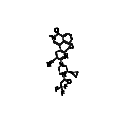 Cn1cc(-c2cc(C#N)c(N3CCN(C(=O)CC(F)(F)F)[C@H](C4CC4)C3)nc2C2CC2)c2ccccc2c1=O